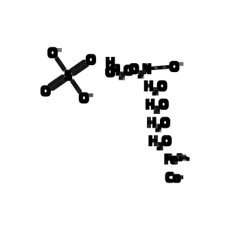 O.O.O.O.O.O.O=S(=O)([O-])[O-].O=[N+]([O-])[O-].[Co].[Fe+3]